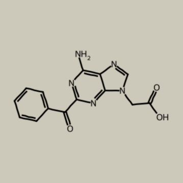 Nc1nc(C(=O)c2ccccc2)nc2c1ncn2CC(=O)O